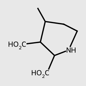 CC1CCNC(C(=O)O)C1C(=O)O